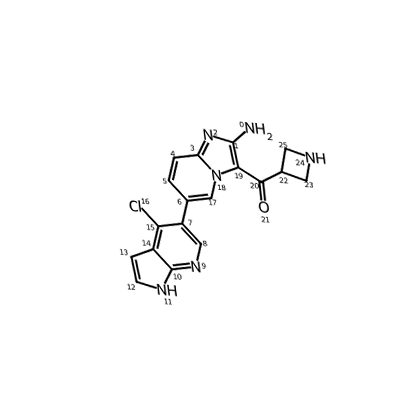 Nc1nc2ccc(-c3cnc4[nH]ccc4c3Cl)cn2c1C(=O)C1CNC1